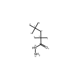 CC(C)(C)CC(C)(C)C(=O)NN